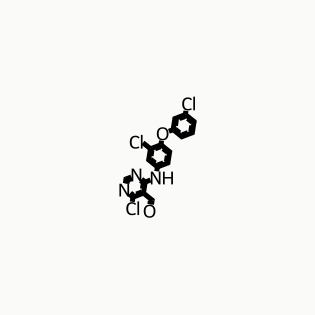 O=Cc1c(Cl)ncnc1Nc1ccc(Oc2cccc(Cl)c2)c(Cl)c1